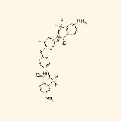 Cc1cc(NC(=O)c2ccc(N)cc2C(F)(F)F)ccc1Sc1ccc(NC(=O)c2ccc(N)cc2C(F)(F)F)cc1